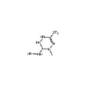 CCCNC1NNC(C(F)(F)F)=NN1C